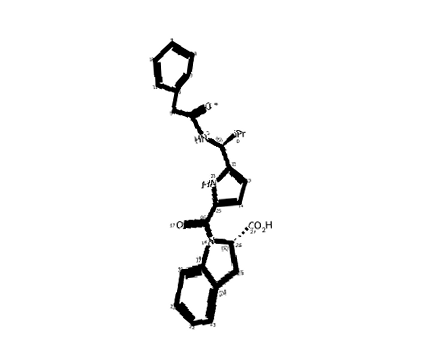 CC(C)[C@H](NC(=O)Cc1ccccc1)c1ccc(C(=O)N2c3ccccc3C[C@H]2C(=O)O)[nH]1